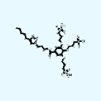 CCCCCc1cn(CCCNC(=O)C2=CC(OCCCS(=O)(=O)O)C(OCCCS(=O)(=O)O)C(OCCCS(=O)(=O)O)=C2)nn1